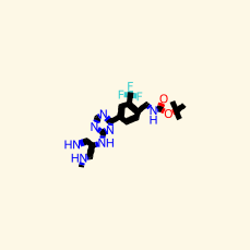 CN/C=C(\C=N)Nc1ncnc(-c2ccc(CNC(=O)OC(C)(C)C)c(C(F)(F)F)c2)n1